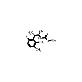 Cc1ccc(F)c([C@@H](C)[C@@H](C#N)NC(=O)OC(C)(C)C)c1C